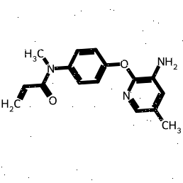 C=CC(=O)N(C)c1ccc(Oc2ncc(C)cc2N)cc1